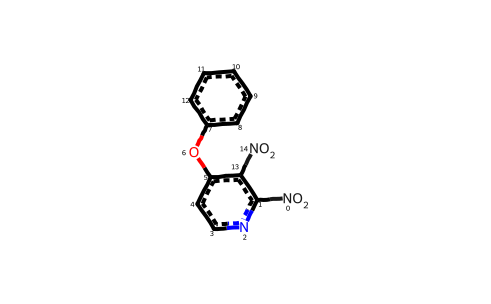 O=[N+]([O-])c1nccc(Oc2ccccc2)c1[N+](=O)[O-]